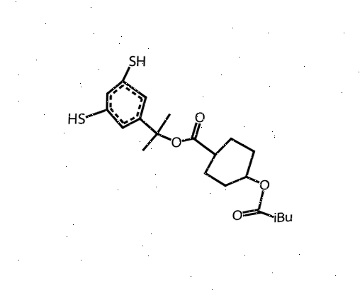 CCC(C)C(=O)OC1CCC(C(=O)OC(C)(C)c2cc(S)cc(S)c2)CC1